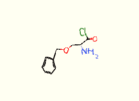 N[C@H](COCc1ccccc1)C(=O)Cl